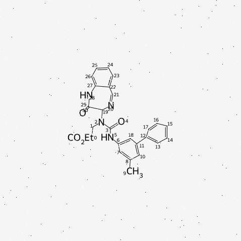 CCOC(=O)CN(C(=O)Nc1cc(C)cc(-c2ccccc2)c1)C1N=Cc2ccccc2NC1=O